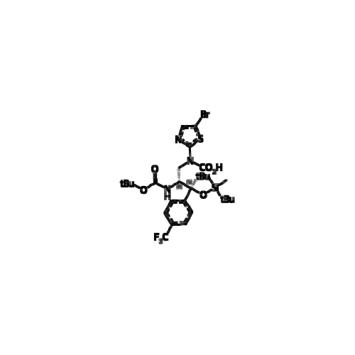 CC(C)(C)OC(=O)N[C@H](CN(C(=O)O)c1ncc(Br)s1)[C@@](O[Si](C)(C)C(C)(C)C)(c1ccc(C(F)(F)F)cc1)C(C)(C)C